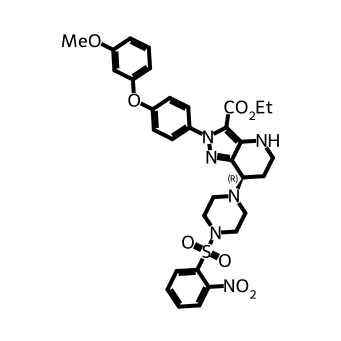 CCOC(=O)c1c2c(nn1-c1ccc(Oc3cccc(OC)c3)cc1)[C@H](N1CCN(S(=O)(=O)c3ccccc3[N+](=O)[O-])CC1)CCN2